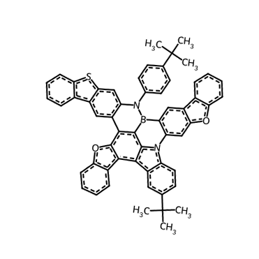 CC(C)(C)c1ccc(N2B3c4cc5c(cc4-n4c6ccc(C(C)(C)C)cc6c6c7c(oc8ccccc87)c(c3c64)-c3cc4c(cc32)sc2ccccc24)oc2ccccc25)cc1